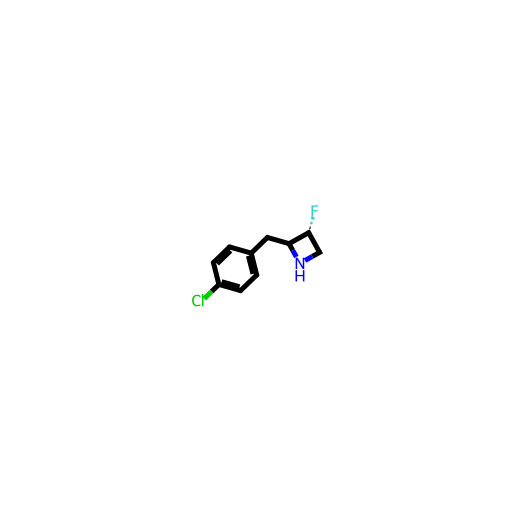 F[C@@H]1CNC1Cc1ccc(Cl)cc1